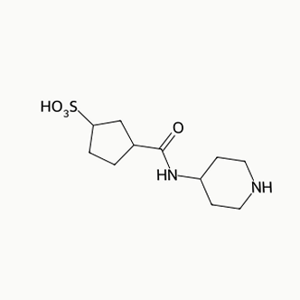 O=C(NC1CCNCC1)C1CCC(S(=O)(=O)O)C1